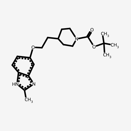 Cc1nc2cc(OCCC3CCN(C(=O)OC(C)(C)C)CC3)ccc2[nH]1